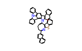 C1=C(/n2c3ccc4ccccc4c3c3cc4c5ccccc5n5c6ccccc6c(c32)c45)c2c(sc3ccccc23)/N=C(/c2ccc3ccccc3c2)CC/1